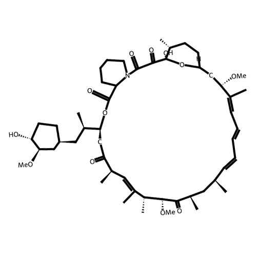 CO[C@H]1C[C@@H]2CC[C@@H](C)[C@@](O)(O2)C(=O)C(=O)N2CCCCC2C(=O)O[C@H]([C@H](C)C[C@@H]2CC[C@@H](O)[C@H](OC)C2)CC(=O)[C@H](C)/C=C(\C)[C@@H](C)[C@@H](OC)C(=O)[C@H](C)C[C@H](C)/C=C/C=C/C=C/1C